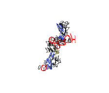 COc1cnc2c(-c3nc4c(C)cc5c(c4s3)OCC(CN(C(=O)O)c3ccc(C)nc3)O5)cc(C)cc2n1